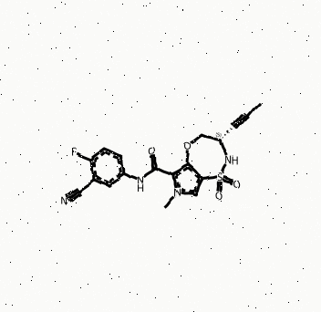 CC#C[C@H]1COc2c(cn(C)c2C(=O)Nc2ccc(F)c(C#N)c2)S(=O)(=O)N1